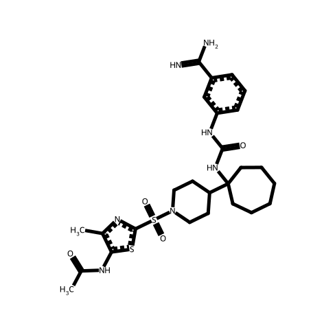 CC(=O)Nc1sc(S(=O)(=O)N2CCC(C3(NC(=O)Nc4cccc(C(=N)N)c4)CCCCCC3)CC2)nc1C